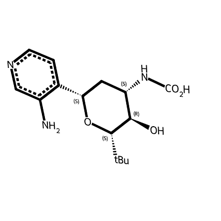 CC(C)(C)[C@@H]1O[C@H](c2ccncc2N)C[C@H](NC(=O)O)[C@H]1O